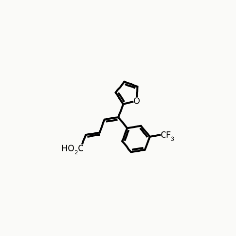 O=C(O)/C=C/C=C(\c1cccc(C(F)(F)F)c1)c1ccco1